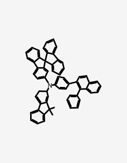 CC1(C)C2=CC(N(c3ccc(-c4ccc5ccccc5c4-c4ccccc4)cc3)c3ccc4c(c3)C3(c5ccccc5-c5ccccc53)c3ccccc3-4)CC=C2c2ccccc21